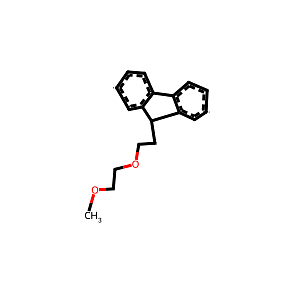 COCCOCCC1c2c[c]ccc2-c2cc[c]cc21